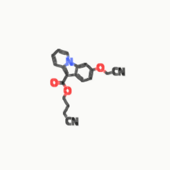 N#CCCCOC(=O)c1c2ccc(OCC#N)cc2n2ccccc12